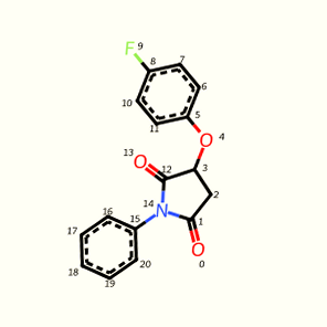 O=C1CC(Oc2ccc(F)cc2)C(=O)N1c1ccccc1